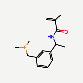 C=C(C)C(=O)NC(C)c1cccc(CP(C)C)c1